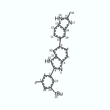 Cc1cc(-c2nc3ccc(-c4ccc5[nH]c(C)nc5c4)cc3[nH]2)cc(C(C)(C)C)c1